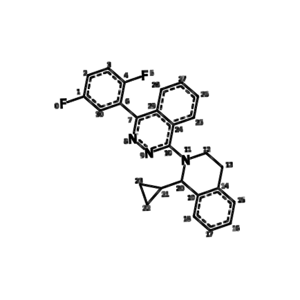 Fc1ccc(F)c(-c2nnc(N3CCc4ccccc4C3C3CC3)c3ccccc23)c1